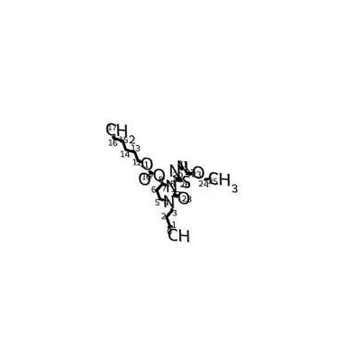 C#CCCN1CCC(OC(=O)OCCCCC=C)N(c2nnc(OCC)s2)C1=O